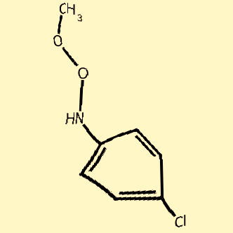 COONc1ccc(Cl)cc1